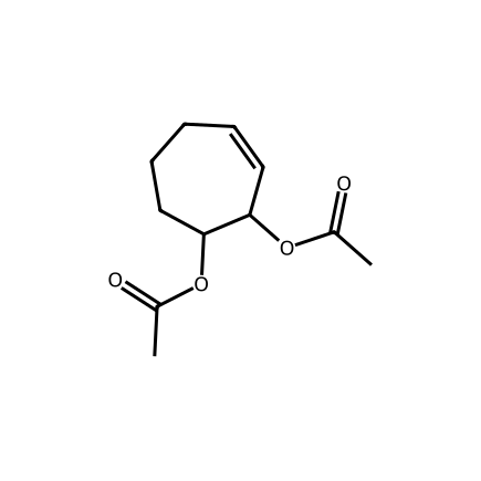 CC(=O)OC1C=CCCCC1OC(C)=O